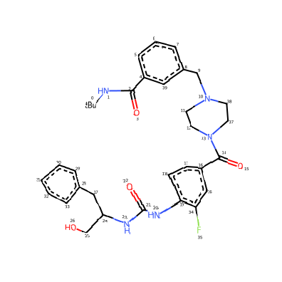 CC(C)(C)NC(=O)c1cccc(CN2CCN(C(=O)c3ccc(NC(=O)NC(CO)Cc4ccccc4)c(F)c3)CC2)c1